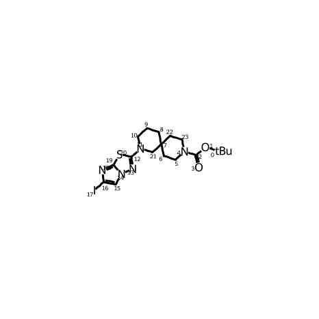 CC(C)(C)OC(=O)N1CCC2(CCCN(c3nn4cc(I)nc4s3)C2)CC1